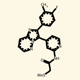 CSCC(=O)Nc1cc(-c2c(-c3ccc(F)c(C)c3)nc3cccnn23)ccn1